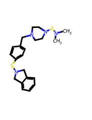 CN(C)SN1CCN(Cc2ccc(SN3Cc4ccccc4C3)cc2)CC1